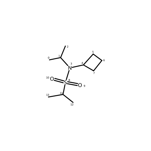 CC(C)N(C1CCC1)S(=O)(=O)C(C)C